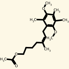 COc1c(C)c(C)c(OC)c(CC=C(C)CCCCOC(C)=O)c1C